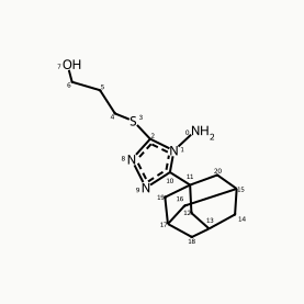 Nn1c(SCCCO)nnc1C12CC3CC(CC(C3)C1)C2